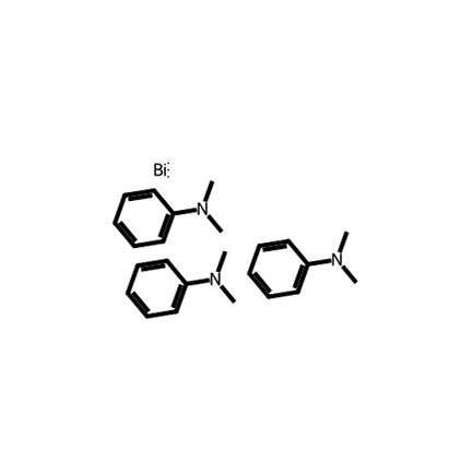 CN(C)c1ccccc1.CN(C)c1ccccc1.CN(C)c1ccccc1.[Bi]